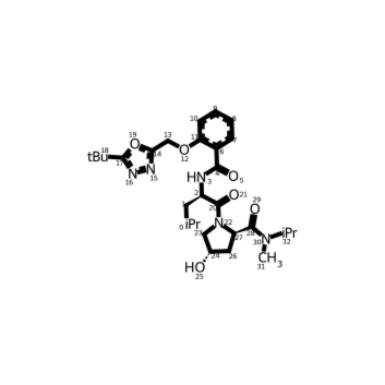 CC(C)C[C@@H](NC(=O)c1ccccc1OCc1nnc(C(C)(C)C)o1)C(=O)N1C[C@@H](O)C[C@@H]1C(=O)N(C)C(C)C